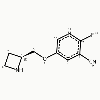 N#Cc1cc(OC[C@@H]2CCN2)cnc1F